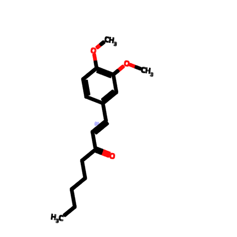 CCCCCC(=O)/C=C/c1ccc(OC)c(OC)c1